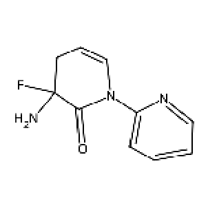 NC1(F)CC=CN(c2ccccn2)C1=O